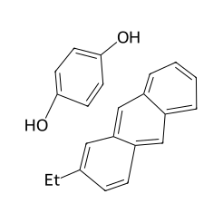 CCc1ccc2cc3ccccc3cc2c1.Oc1ccc(O)cc1